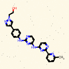 Cc1cccc(-c2nccc(Nc3ccnc(Nc4ccc(-c5cnn(CCO)c5)cc4)n3)n2)n1